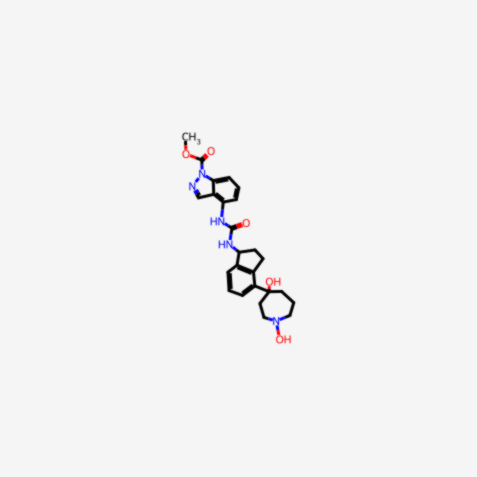 COC(=O)n1ncc2c(NC(=O)NC3CCc4c3cccc4C3(O)CCCN(O)CC3)cccc21